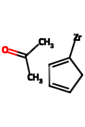 CC(C)=O.[Zr][C]1=CC=CC1